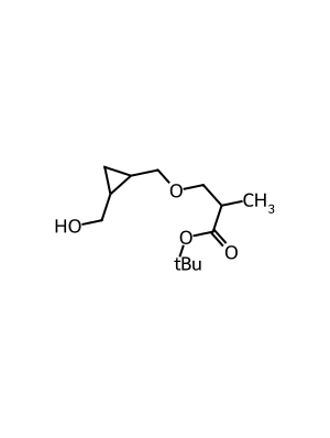 CC(COCC1CC1CO)C(=O)OC(C)(C)C